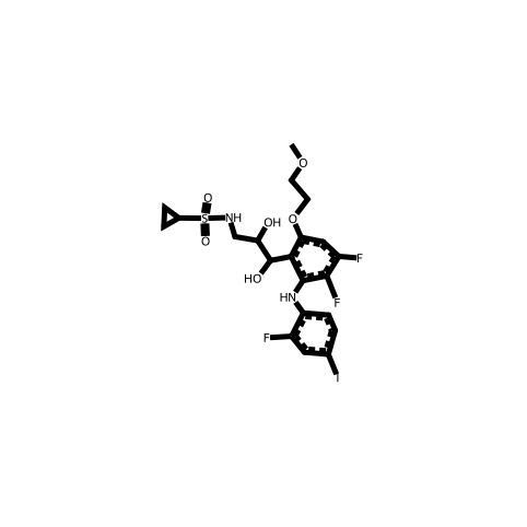 COCCOc1cc(F)c(F)c(Nc2ccc(I)cc2F)c1C(O)C(O)CNS(=O)(=O)C1CC1